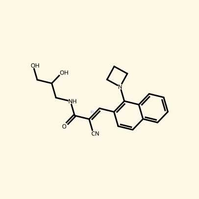 N#C/C(=C\c1ccc2ccccc2c1N1CCC1)C(=O)NCC(O)CO